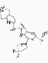 C[C@@H](O)c1cc2cnc(Nc3ccc4c(n3)CCNC4)nc2c(N2CCC(F)(F)CC2)n1